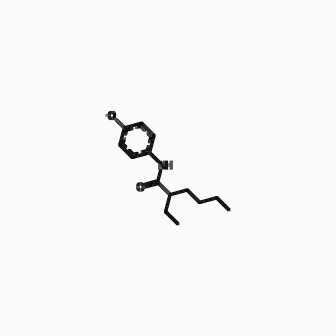 CCCCC(CC)C(=O)Nc1ccc([O])cc1